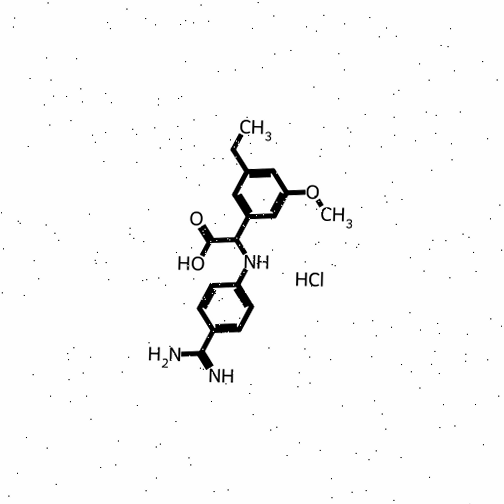 CCc1cc(OC)cc(C(Nc2ccc(C(=N)N)cc2)C(=O)O)c1.Cl